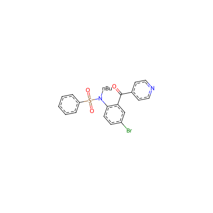 CCCCN(c1ccc(Br)cc1C(=O)c1ccncc1)S(=O)(=O)c1ccccc1